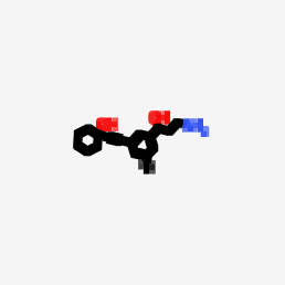 [2H]c1cc(C#CC2(O)CCCCC2)cc(C(O)CCN)c1